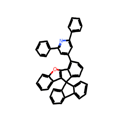 c1ccc(-c2cc(-c3cccc4c3-c3oc5ccccc5c3C43c4ccccc4-c4ccccc43)cc(-c3ccccc3)n2)cc1